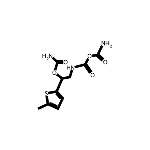 Cc1ccc(C(CNC(=O)OC(N)=O)OC(N)=O)s1